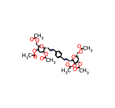 CC(=O)OC[C@@H]1C[C@H](OC(C)=O)[C@H](OC(C)=O)[C@@H](C/C=C/c2ccc(/C=C/C[C@H]3O[C@H](COC(C)=O)[C@@H](OC(C)=O)C[C@@H]3OC(C)=O)cc2)O1